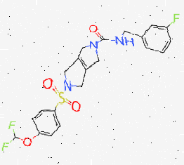 O=C(NCc1cccc(F)c1)N1CC2=C(C1)CN(S(=O)(=O)c1ccc(OC(F)F)cc1)C2